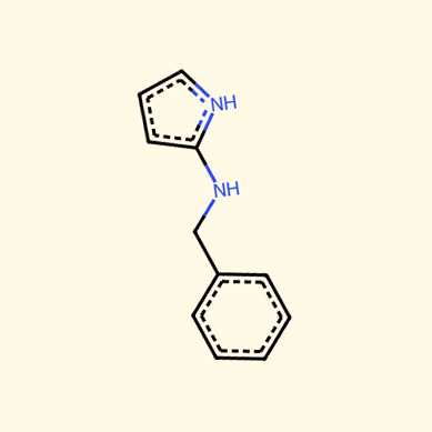 c1ccc(CNc2ccc[nH]2)cc1